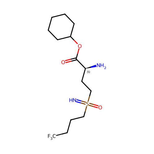 N=S(=O)(CCCC(F)(F)F)CC[C@H](N)C(=O)OC1CCCCC1